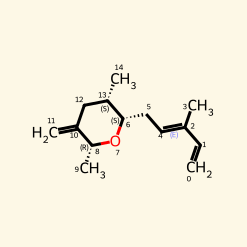 C=C/C(C)=C/C[C@@H]1O[C@H](C)C(=C)C[C@@H]1C